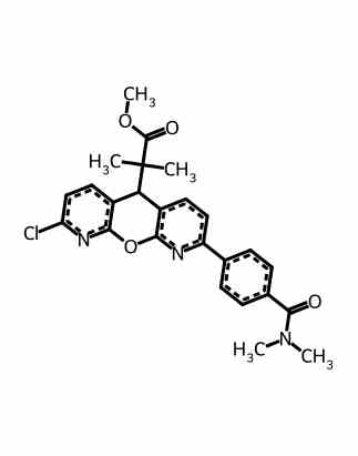 COC(=O)C(C)(C)C1c2ccc(Cl)nc2Oc2nc(-c3ccc(C(=O)N(C)C)cc3)ccc21